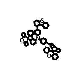 c1ccc2c(c1)Oc1ccccc1C21c2ccccc2-c2ccc(-c3ccc(N(c4ccc(-c5cccc6sc7ccccc7c56)cc4)c4cccc5c4-c4ccccc4C54c5ccccc5Oc5ccccc54)cc3)cc21